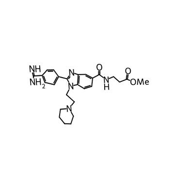 COC(=O)CCNC(=O)c1ccc2c(c1)nc(-c1ccc(C(=N)N)cc1)n2CCN1CCCCC1